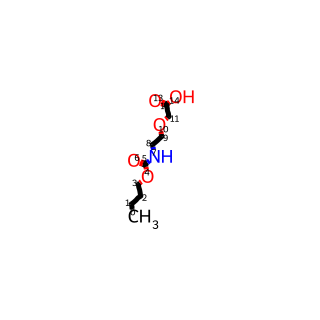 CCCCOC(=O)NCCOCC(=O)O